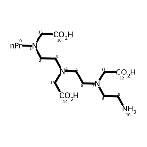 CCCN(CCN(CCN(CCN)CC(=O)O)CC(=O)O)CC(=O)O